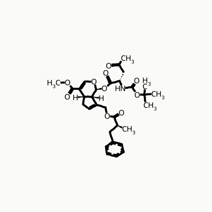 COC(=O)C1=CO[C@@H](OC(=O)[C@H](CC(C)=O)NC(=O)OC(C)(C)C)[C@@H]2C(COC(=O)[C@@H](C)Cc3ccccc3)=CC[C@H]12